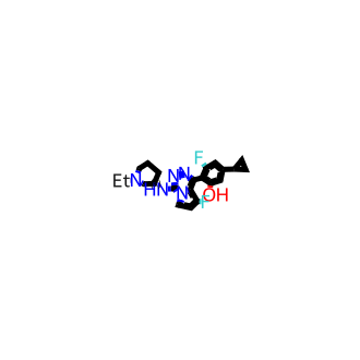 CCN1CCC[C@@H](Nc2nnc(-c3c(O)cc(C4CC4)cc3F)c3c(F)ccn23)C1